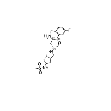 CS(=O)(=O)NC1CC2CN([C@H]3CO[C@H](c4cc(F)ccc4F)[C@@H](N)C3)CC2C1